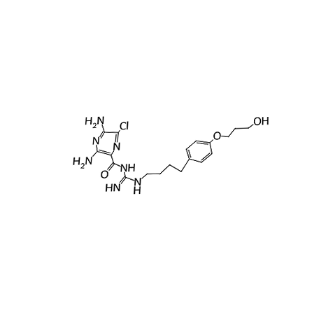 N=C(NCCCCc1ccc(OCCCO)cc1)NC(=O)c1nc(Cl)c(N)nc1N